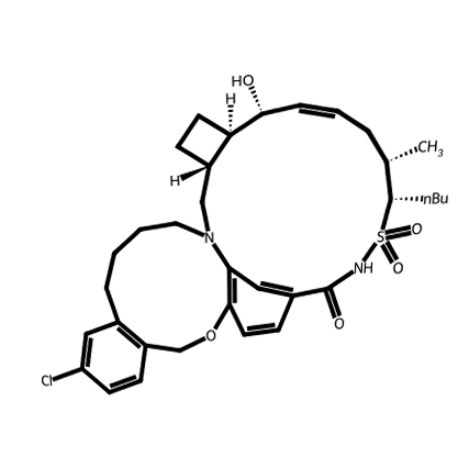 CCCC[C@H]1[C@@H](C)C/C=C\[C@@H](O)[C@@H]2CC[C@H]2CN2CCCCc3cc(Cl)ccc3COc3ccc(cc32)C(=O)NS1(=O)=O